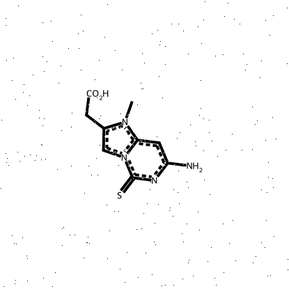 Cn1c(CC(=O)O)cn2c(=S)nc(N)cc12